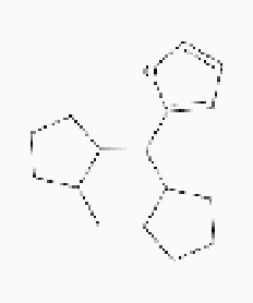 c1coc(C2C3CCCC3CC3CCCC32)c1